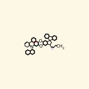 C=C/C=C\C1CC2(c3ccccc3-c3ccccc32)c2cc3c(cc21)Oc1cc(N(C2=C(c4ccccc4)C=CCC2)c2cccc4ccccc24)ccc1O3